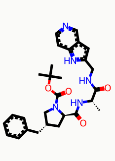 C[C@H](NC(=O)[C@H]1C[C@H](Cc2ccccc2)CN1C(=O)OC(C)(C)C)C(=O)NCc1cc2cnccc2[nH]1